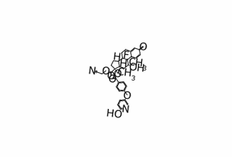 C[C@]12C=CC(=O)C=C1CC[C@H]1[C@@H]3CC[C@@](OC(=O)c4ccc(Oc5ccc(O)nc5)cc4)(C(=O)OCC#N)[C@@]3(C)C[C@H](O)C12F